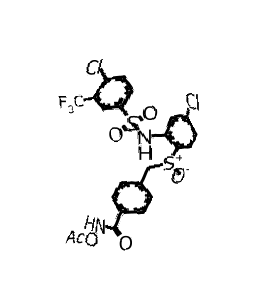 CC(=O)ONC(=O)c1ccc(C[S+]([O-])c2ccc(Cl)cc2NS(=O)(=O)c2ccc(Cl)c(C(F)(F)F)c2)cc1